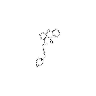 O=c1c2ccccc2oc2cccc(OCC#CCN3CCOCC3)c12